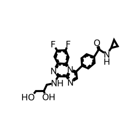 O=C(NC1CC1)c1ccc(-c2cnc3c(NCC(O)CO)nc4cc(F)c(F)cc4n23)cc1